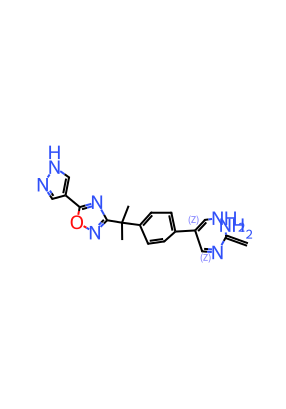 C=C(N)/N=C\C(=C/N)c1ccc(C(C)(C)c2noc(-c3cn[nH]c3)n2)cc1